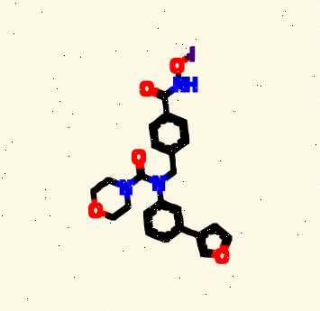 O=C(NOI)c1ccc(CN(C(=O)N2CCOCC2)c2cccc(-c3ccoc3)c2)cc1